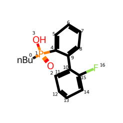 CCCCP(=O)(O)c1ccccc1-c1ccccc1F